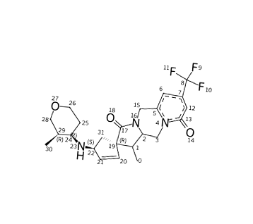 CC1C2Cn3c(cc(C(F)(F)F)cc3=O)CN2C(=O)[C@]12C=C[C@@H](N[C@@H]1CCOC[C@@H]1C)C2